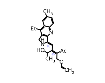 C=COC/C(C(C)=O)=C(/C=C1\NCc2c1nc1ccc(C)cc1c2CC)C(C)O